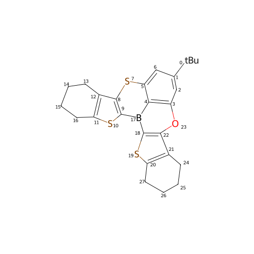 CC(C)(C)c1cc2c3c(c1)Sc1c(sc4c1CCCC4)B3c1sc3c(c1O2)CCCC3